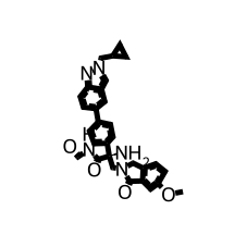 COc1ccc2c(c1)C(=O)N(C[C@@](N)(C(=O)NC=O)c1ccc(-c3ccc4nn(CC5CC5)cc4c3)cc1)C2